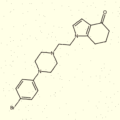 O=C1CCCc2c1ccn2CCN1CCN(c2ccc(Br)cc2)CC1